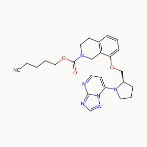 N#CCCCCOC(=O)N1CCc2cccc(OC[C@H]3CCCN3c3ccnc4ncnn34)c2C1